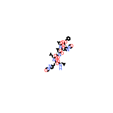 CN[C@@H](CC1CC1)C(=O)O[C@H](CCc1ccc(N2CCOCC2)nc1)C(=O)N(C)[C@@H](CCC(C)C)C(=O)O[C@H](C)C(=O)N(C)[C@@H](CC1CC1)C(=O)O[C@H](Cc1ccc(N2CCOCC2)nc1)C(=O)N(C)[C@@H](CC(C)C)C(=O)O[C@H](C)C(=O)OCc1ccccc1